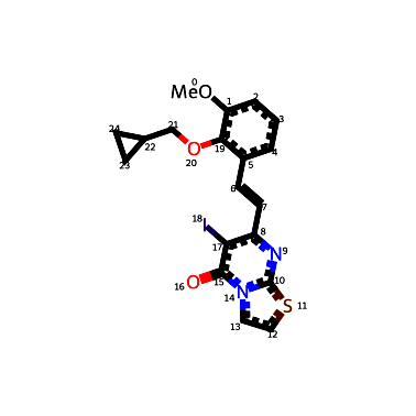 COc1cccc(/C=C/c2nc3sccn3c(=O)c2I)c1OCC1CC1